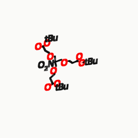 CC(C)(C)OC(=O)CCOCC(COCCC(=O)OC(C)(C)C)(COCCC(=O)OC(C)(C)C)[N+](=O)[O-]